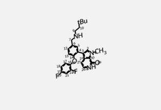 Cn1cc(-c2cc(CNCCC(C)(C)C)ccc2Oc2ccc(F)cc2F)c2cc[nH]c(=O)c21